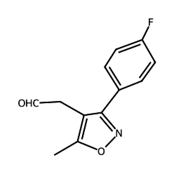 Cc1onc(-c2ccc(F)cc2)c1CC=O